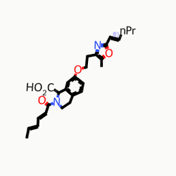 CC=CC=CC(=O)N1CCc2ccc(OCCc3nc(/C=C/CCC)oc3C)cc2C1C(=O)O